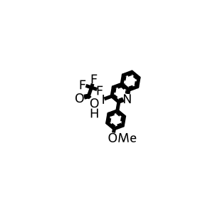 COc1ccc(-c2nc3ccccc3cc2I)cc1.O=C(O)C(F)(F)F